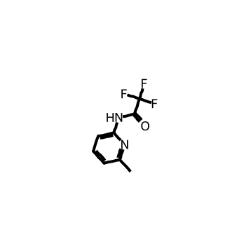 Cc1cccc(NC(=O)C(F)(F)F)n1